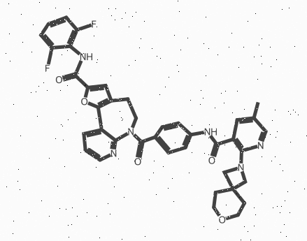 Cc1cnc(N2CC3(CCOCC3)C2)c(C(=O)Nc2ccc(C(=O)N3CCc4cc(C(=O)Nc5c(F)cccc5F)oc4-c4cccnc43)cc2)c1